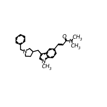 CN(C)C(=O)C=Cc1ccc2c(c1)c(CC1CCN(Cc3ccccc3)C1)cn2C